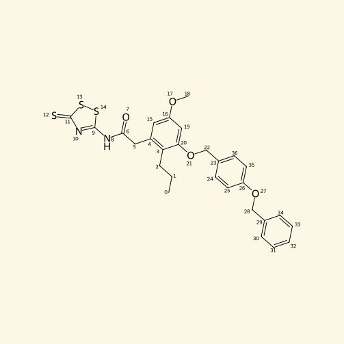 CCCc1c(CC(=O)Nc2nc(=S)ss2)cc(OC)cc1OCc1ccc(OCc2ccccc2)cc1